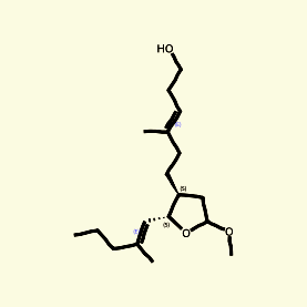 CCC/C(C)=C/[C@H]1OC(OC)C[C@@H]1CC/C(C)=C/CCO